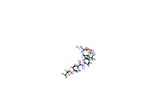 CC1(C)C(N)=N[C@](C)(c2nc(NC(=O)c3ccc(OCC(F)(F)C(F)F)cn3)ccc2F)[C@H]2CC(F)(F)CNS21O